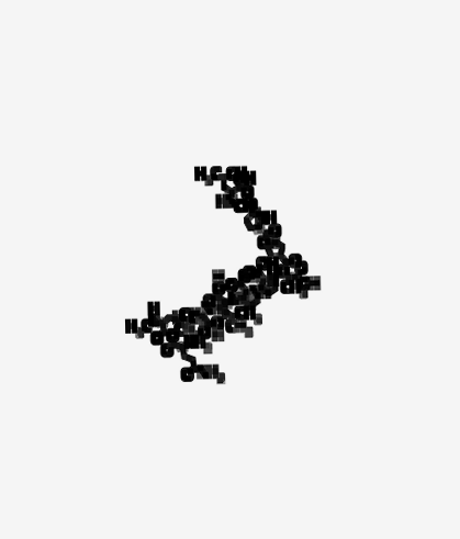 CC(C)C[C@H](N)C(=O)O.CC(N)C(=O)O.CN[C@@H](CC(C)C)C(=O)O.CN[C@@H](CC(C)C)C(=O)OC(=O)[C@@H](N)CCC(N)=O.C[C@H](OC(=O)C1CCCC1)C(=O)O.O=C(O)[C@@H]1CCCN1.O=C(O)[C@@H]1CCCN1.O=C1CC[C@@H](C(=O)O)N1